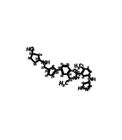 Cc1ccc(Nc2cn[nH]c2)cc1C(=O)N[C@H](C)c1cccc(-c2ccc(CNC3CC[C@@H](O)C3)s2)c1